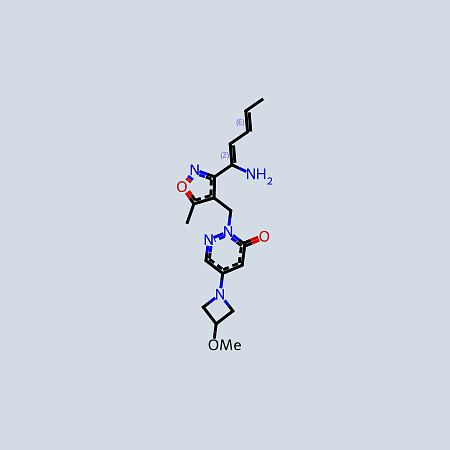 C/C=C/C=C(\N)c1noc(C)c1Cn1ncc(N2CC(OC)C2)cc1=O